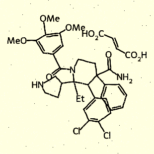 CCC1(C2CCNC2)C(c2ccc(Cl)c(Cl)c2)C(C(N)=O)(c2ccccc2)CCN1C(=O)c1cc(OC)c(OC)c(OC)c1.O=C(O)C=CC(=O)O